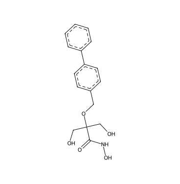 O=C(NO)C(CO)(CO)OCc1ccc(-c2ccccc2)cc1